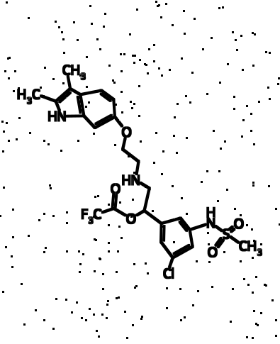 Cc1[nH]c2cc(OCCNCC(OC(=O)C(F)(F)F)c3cc(Cl)cc(NS(C)(=O)=O)c3)ccc2c1C